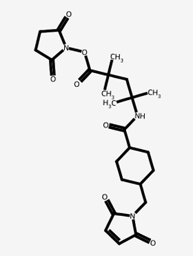 CC(C)(CC(C)(C)C(=O)ON1C(=O)CCC1=O)NC(=O)C1CCC(CN2C(=O)C=CC2=O)CC1